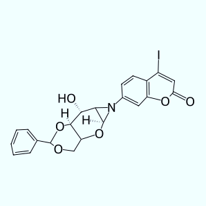 O=c1cc(I)c2ccc(N3C4[C@@H](O)[C@@H]5OC(c6ccccc6)OCC5O[C@@H]43)cc2o1